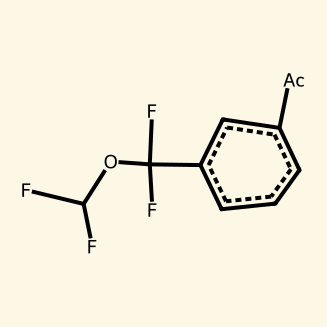 CC(=O)c1cccc(C(F)(F)OC(F)F)c1